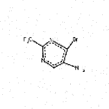 Nc1cnc(C(F)(F)F)nc1Br